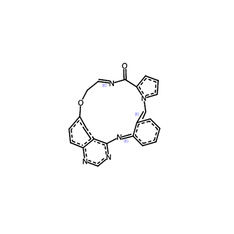 O=C1/N=C/COc2ccc3ncnc(c3c2)/N=c2\cccc\c2=C/n2cccc21